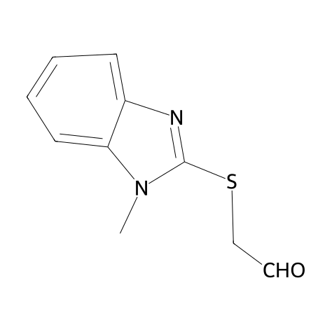 Cn1c(SCC=O)nc2ccccc21